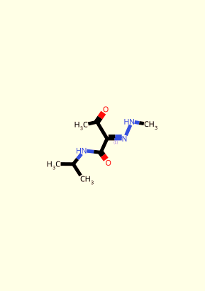 CN/N=C(\C(C)=O)C(=O)NC(C)C